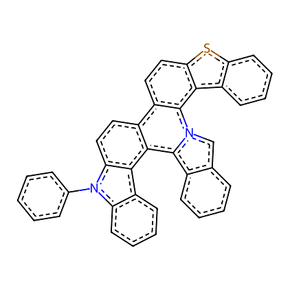 c1ccc(-n2c3ccccc3c3c4c(ccc32)c2ccc3sc5ccccc5c3c2n2cc3ccccc3c42)cc1